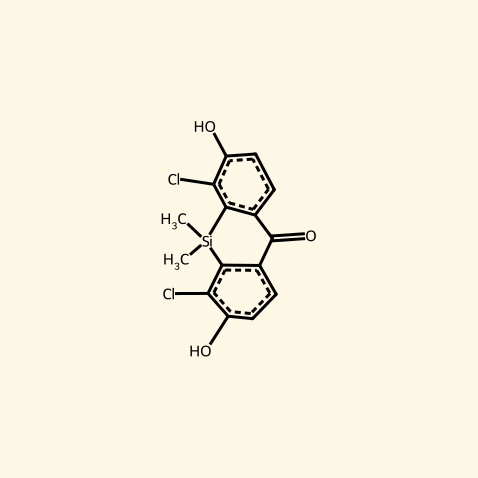 C[Si]1(C)c2c(ccc(O)c2Cl)C(=O)c2ccc(O)c(Cl)c21